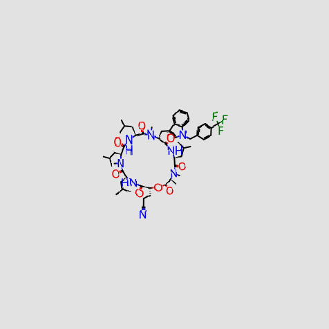 CC(C)C[C@@H]1NC(=O)[C@H](Cc2cn(Cc3ccc(C(F)(F)F)cc3)c3ccccc23)N(C)C(=O)[C@H](CC(C)C)NC(=O)[C@H](CC(C)C)N(C)C(=O)[C@H](CC(C)C)NC(=O)[C@@H](CCC#N)OC(=O)[C@H](C)N(C)C1=O